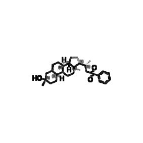 C[C@H](CS(=O)(=O)c1ccccc1)[C@H]1CC[C@H]2[C@@H]3CC=C4C[C@@](C)(O)CC[C@@H]4C3CC[C@]12C